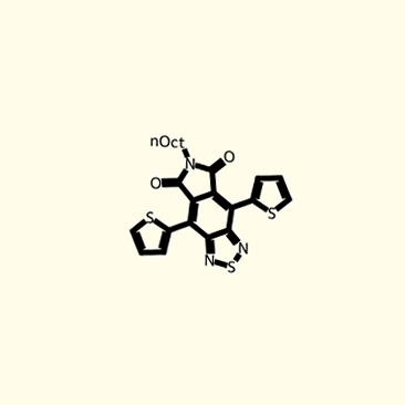 CCCCCCCCN1C(=O)c2c(c(-c3cccs3)c3nsnc3c2-c2cccs2)C1=O